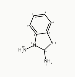 NC1Sc2ccccc2N1N